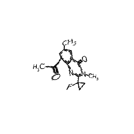 CC(=O)c1cc(C)cc2c(=O)n(C)c(C3(F)CC3)nc12